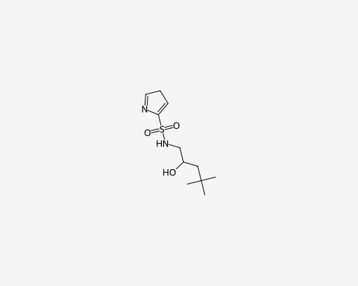 CC(C)(C)CC(O)CNS(=O)(=O)C1=CCC=N1